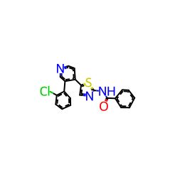 O=C(Nc1ncc(-c2ccncc2-c2ccccc2Cl)s1)c1ccccc1